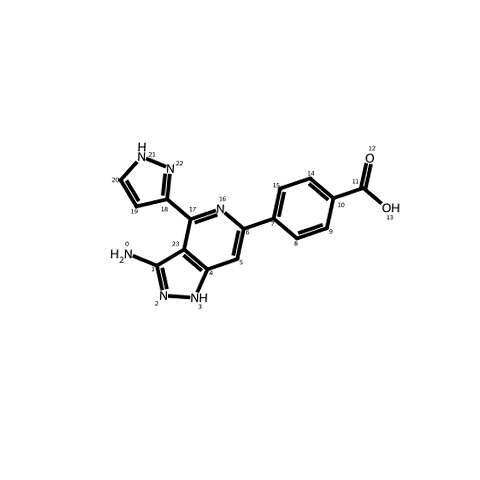 Nc1n[nH]c2cc(-c3ccc(C(=O)O)cc3)nc(-c3cc[nH]n3)c12